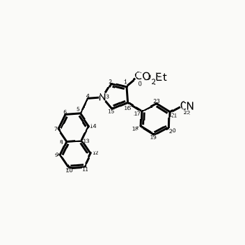 CCOC(=O)c1cn(Cc2ccc3ccccc3c2)cc1-c1cccc(C#N)c1